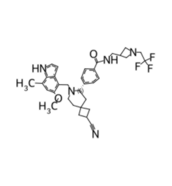 COc1cc(C)c2[nH]ccc2c1CN1CCC2(CC(C#N)C2)C[C@H]1c1ccc(C(=O)NCC2CN(CC(F)(F)F)C2)cc1